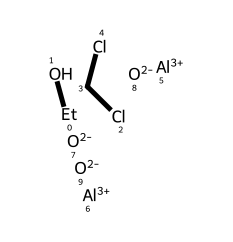 CCO.ClCCl.[Al+3].[Al+3].[O-2].[O-2].[O-2]